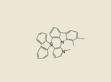 Cc1ccc2c3cccc4c3n(c2c1C)-c1c(ccc[n+]1C)[Si]4(c1ccccc1)c1ccccc1